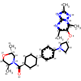 Cc1nc2nc(C)c(O[C@@H]3CCN(c4ccc([C@H]5CC[C@H](C(=O)N6C[C@@H](C)OC[C@@H]6C)CC5)cc4)C3)c(C)n2n1